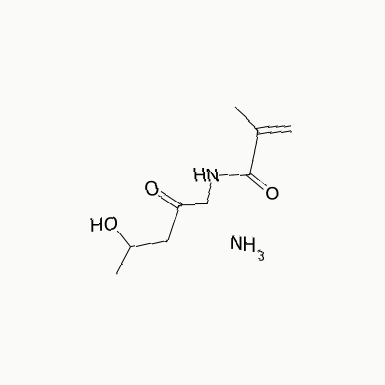 C=C(C)C(=O)NCC(=O)CC(C)O.N